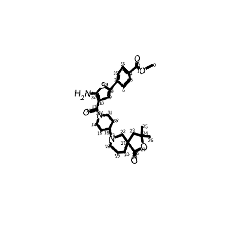 COC(=O)c1ccc(-c2cc(C(=O)N3CCC(N4CCCC5(C4)CC(C)(C)OC5=O)CC3)c(N)s2)cc1